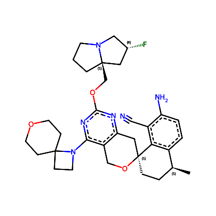 C[C@H]1CC[C@]2(Cc3nc(OC[C@@]45CCCN4C[C@H](F)C5)nc(N4CCC45CCOCC5)c3CO2)c2c1ccc(N)c2C#N